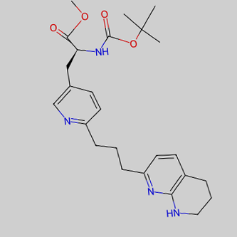 COC(=O)[C@H](Cc1ccc(CCCc2ccc3c(n2)NCCC3)nc1)NC(=O)OC(C)(C)C